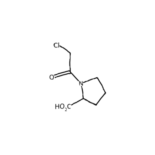 O=C(O)C1CCCN1C(=O)CCl